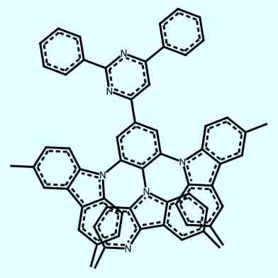 Cc1ccc2c(c1)c1cc(C)ccc1n2-c1cc(-c2cc(-c3ccccc3)nc(-c3ccccc3)n2)cc(-n2c3ccc(C)cc3c3cc(C)ccc32)c1-n1c2ccc(C)cc2c2nc(C)ccc21